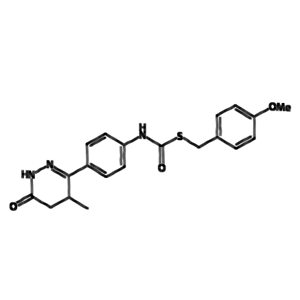 COc1ccc(CSC(=O)Nc2ccc(C3=NNC(=O)CC3C)cc2)cc1